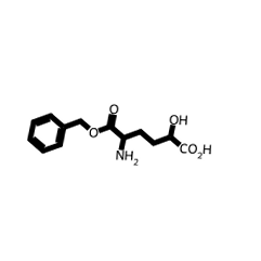 NC(CCC(O)C(=O)O)C(=O)OCc1ccccc1